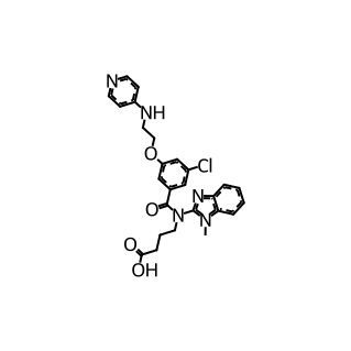 Cn1c(N(CCCC(=O)O)C(=O)c2cc(Cl)cc(OCCNc3ccncc3)c2)nc2ccccc21